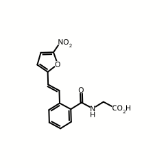 O=C(O)CNC(=O)c1ccccc1C=Cc1ccc([N+](=O)[O-])o1